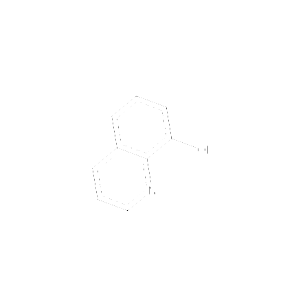 Oc1[c]ccc2cccnc12